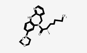 C[C@@H](CCCCC(F)(F)F)C(=O)N1Cc2cccnc2Nc2ccc(N3CCOCC3)cc21